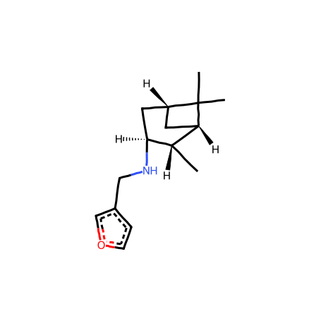 C[C@@H]1[C@@H](NCc2ccoc2)C[C@H]2C[C@@H]1C2(C)C